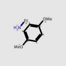 CCN.COc1ccc(OC)cc1